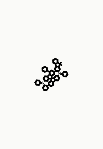 CC1(C)c2ccccc2-c2ccc(N(c3ccccc3)c3ccc4c(c3)C3(c5ccccc5-4)c4cc(N(c5ccccc5)c5ccccc5)ccc4-c4c(-c5ccccc5)cccc43)cc21